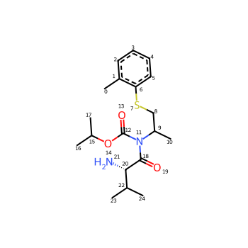 Cc1ccccc1SCC(C)N(C(=O)OC(C)C)C(=O)[C@@H](N)C(C)C